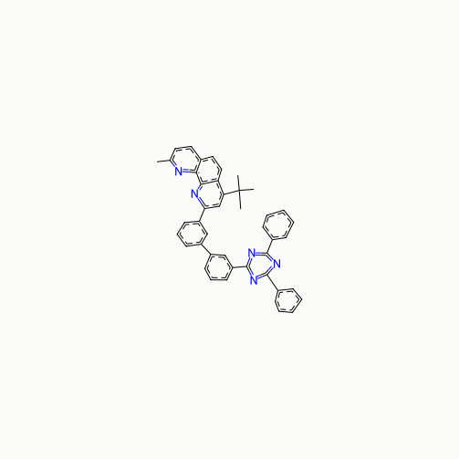 Cc1ccc2ccc3c(C(C)(C)C)cc(-c4cccc(-c5cccc(-c6nc(-c7ccccc7)nc(-c7ccccc7)n6)c5)c4)nc3c2n1